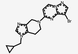 Brc1cnn2ccc(N3CCc4c(ncn4CC4CC4)C3)nc12